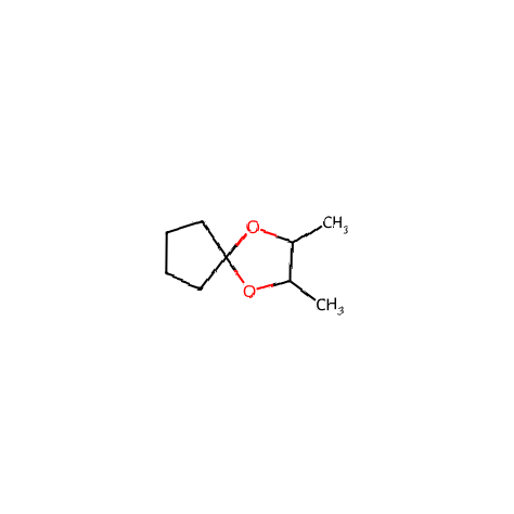 CC1OC2(CCCC2)OC1C